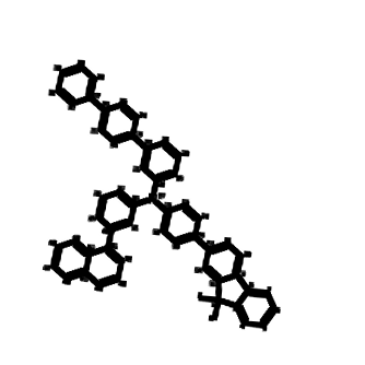 CC1(C)c2ccccc2-c2ccc(-c3ccc(N(c4cccc(-c5ccc(-c6ccccc6)cc5)c4)c4cccc(-c5cccc6ccccc56)c4)cc3)cc21